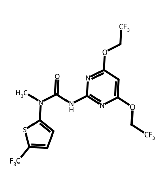 CN(C(=O)Nc1nc(OCC(F)(F)F)cc(OCC(F)(F)F)n1)c1ccc(C(F)(F)F)s1